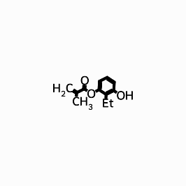 C=C(C)C(=O)Oc1cccc(O)c1CC